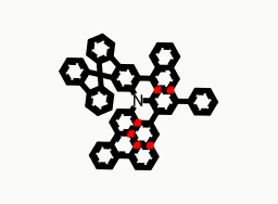 c1ccc(-c2ccc(N(c3ccc4c5ccccc5c5ccccc5c4c3)c3cc4c(cc3-c3cccc5ccccc35)-c3ccccc3C43c4ccccc4-c4ccccc43)c(-c3ccccc3)c2)cc1